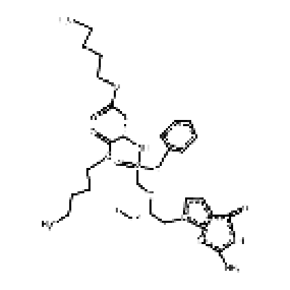 CCCCCOC(=O)C[C@H](NP(=O)(CO[C@@H](CF)Cn1ccc2c(=O)[nH]c(N)nc21)Oc1ccccc1)C(=O)OCCCCC